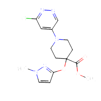 COC(=O)C1(Oc2ccn(C)n2)CCN(c2cnnc(Cl)c2)CC1